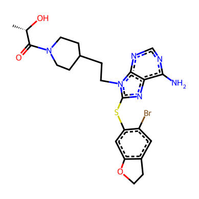 C[C@H](O)C(=O)N1CCC(CCn2c(Sc3cc4c(cc3Br)CCO4)nc3c(N)ncnc32)CC1